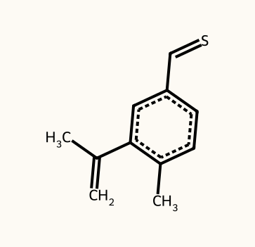 C=C(C)c1cc(C=S)ccc1C